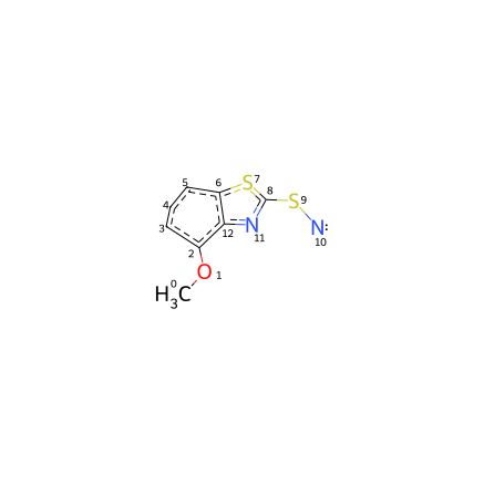 COc1cccc2sc(S[N])nc12